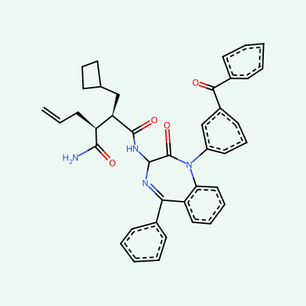 C=CC[C@H](C(N)=O)[C@@H](CC1CCC1)C(=O)NC1N=C(c2ccccc2)c2ccccc2N(c2cccc(C(=O)c3ccccc3)c2)C1=O